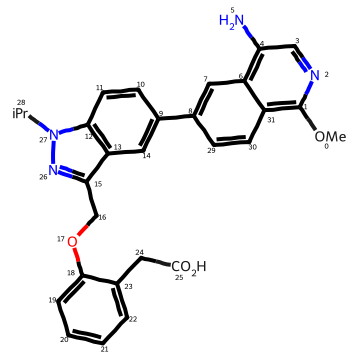 COc1ncc(N)c2cc(-c3ccc4c(c3)c(COc3ccccc3CC(=O)O)nn4C(C)C)ccc12